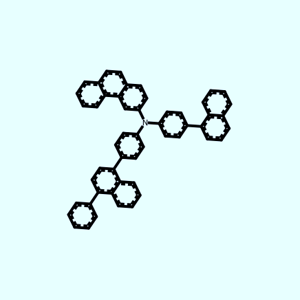 c1ccc(-c2ccc(-c3ccc(N(c4ccc(-c5cccc6ccccc56)cc4)c4ccc5ccc6ccccc6c5c4)cc3)c3ccccc23)cc1